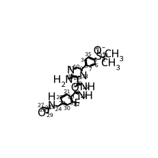 CC(C)[S+]([O-])c1ccc(-c2cnc(N)c(C(=N)OC(=N)c3ccc(CNC4COC4)cc3F)n2)cc1